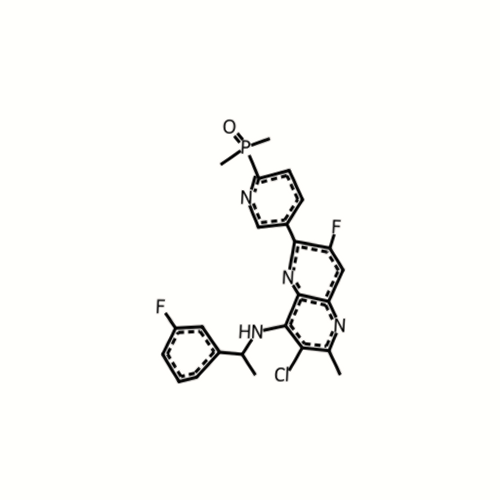 Cc1nc2cc(F)c(-c3ccc(P(C)(C)=O)nc3)nc2c(NC(C)c2cccc(F)c2)c1Cl